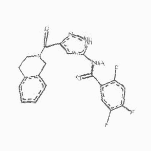 O=C(Nc1cc(C(=O)N2CCc3ccccc3C2)n[nH]1)c1cc(F)c(F)cc1Cl